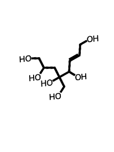 OCC=CC(O)C(O)(CO)CC(O)CO